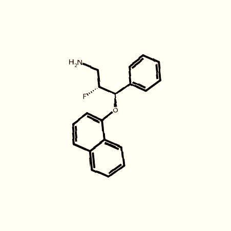 NC[C@@H](F)[C@H](Oc1cccc2ccccc12)c1ccccc1